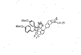 COc1ccc(CNS(=O)(=O)c2c(C(F)(F)F)ccc(C3CCC4(CC3)CCN(CC3(NC(=O)O)CC3)CC4)c2-c2nnnn2Cc2ccc(OC)cc2)cc1